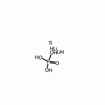 O=P(O)(O)O.[LiH].[LiH].[Ti]